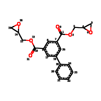 O=C(OCC1CO1)c1cc(C(=O)OCC2CO2)cc(-c2ccccc2)c1